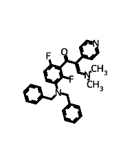 CN(C)C=C(C(=O)c1c(F)ccc(N(Cc2ccccc2)Cc2ccccc2)c1F)c1ccncc1